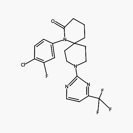 O=C1CCCC2(CCN(c3nccc(C(F)(F)F)n3)CC2)N1c1ccc(Cl)c(F)c1